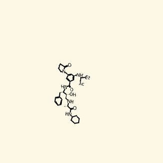 CCC(Nc1cc(C(=O)N[C@@H](Cc2ccccc2)[C@H](O)CN[C@@H](C)C(=O)NC2CCCCC2)cc(N2CCCC2=O)c1)C(C)=O